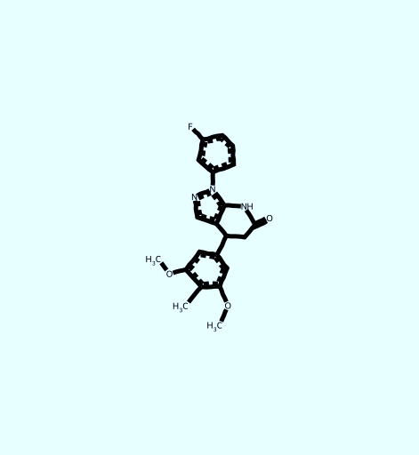 COc1cc(C2CC(=O)Nc3c2cnn3-c2cccc(F)c2)cc(OC)c1C